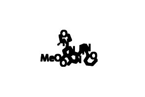 COC(=O)c1cc(N2CCOC[C@H]2C)nc2c(-c3ccnn3C3CCCCO3)ncc(C)c12